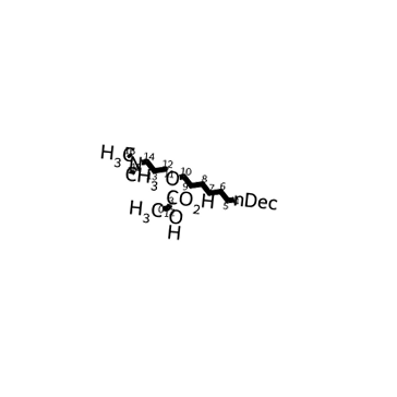 CC(O)C(=O)O.CCCCCCCCCCCCCCCCOCCCN(C)C